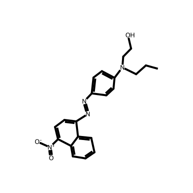 CCCN(CCO)c1ccc(/N=N/c2ccc([N+](=O)[O-])c3ccccc23)cc1